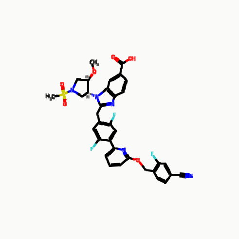 CO[C@@H]1CN(S(C)(=O)=O)C[C@H]1n1c(Cc2cc(F)c(-c3cccc(OCc4ccc(C#N)cc4F)n3)cc2F)nc2ccc(C(=O)O)cc21